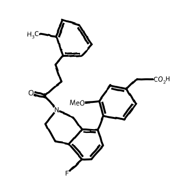 COc1cc(CC(=O)O)ccc1-c1ccc(F)c2c1CN(C(=O)CCc1ccccc1C)CC2